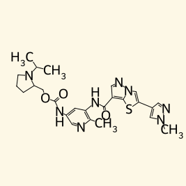 Cc1ncc(NC(=O)OCC2CCCN2C(C)C)cc1NC(=O)c1cnn2cc(-c3cnn(C)c3)sc12